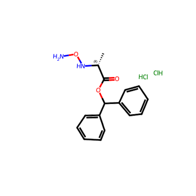 C[C@@H](NON)C(=O)OC(c1ccccc1)c1ccccc1.Cl.Cl